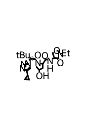 CCN1OCC(NC(=O)C2CC(O)CN2C(=O)[C@@H](n2cc(C3CC3)nn2)C(C)(C)C)C1=O